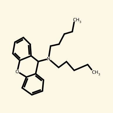 CCCCCN(CCCCC)C1c2ccccc2Oc2ccccc21